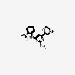 Cc1nc(Nc2ccccc2[N+](=O)[O-])cc(C2CNCCO2)n1